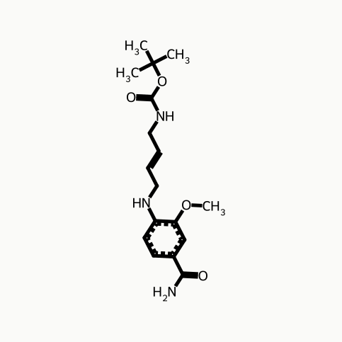 COc1cc(C(N)=O)ccc1NC/C=C/CNC(=O)OC(C)(C)C